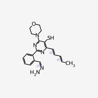 C/C=C/C=C/c1nc(-c2ccccc2/C=N\N)nc(N2CCOCC2)c1S